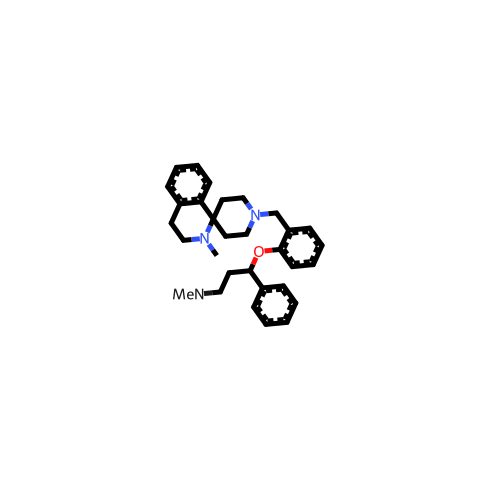 CNCCC(Oc1ccccc1CN1CCC2(CC1)c1ccccc1CCN2C)c1ccccc1